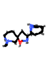 CN1CCCC2(CC(c3ccccn3)=NO2)C1